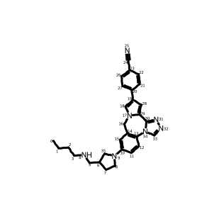 CCCCNCC1CCN(c2ccc3c(c2)Cn2cc(-c4ccc(C#N)cc4)cc2-c2nncn2-3)C1